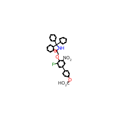 O=C(COc1c(F)cc(-c2ccc(OC(=O)O)cc2)cc1[N+](=O)[O-])NC(c1ccccc1)(c1ccccc1)c1ccccc1